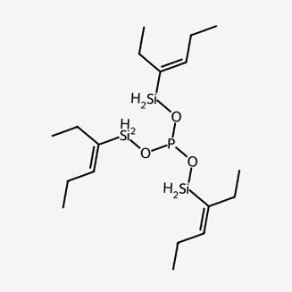 CCC=C(CC)[SiH2]OP(O[SiH2]C(=CCC)CC)O[SiH2]C(=CCC)CC